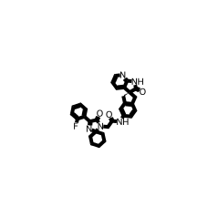 O=C(CN1C(=O)C(c2ccccc2F)=NC12CCCCC2)Nc1ccc2c(c1)C[C@@]1(C2)C(=O)Nc2ncccc21